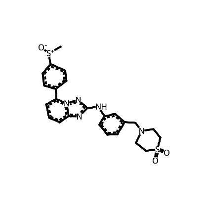 C[S+]([O-])c1ccc(-c2cccc3nc(Nc4cccc(CN5CCS(=O)(=O)CC5)c4)nn23)cc1